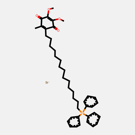 COC1=C(OC)C(=O)C(CCCCCCCCCCCCCCC[P+](c2ccccc2)(c2ccccc2)c2ccccc2)=C(C)C1=O.[Br-]